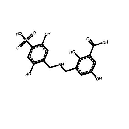 O=C(O)c1cc(O)cc(CNCc2cc(O)c(S(=O)(=O)O)cc2O)c1O